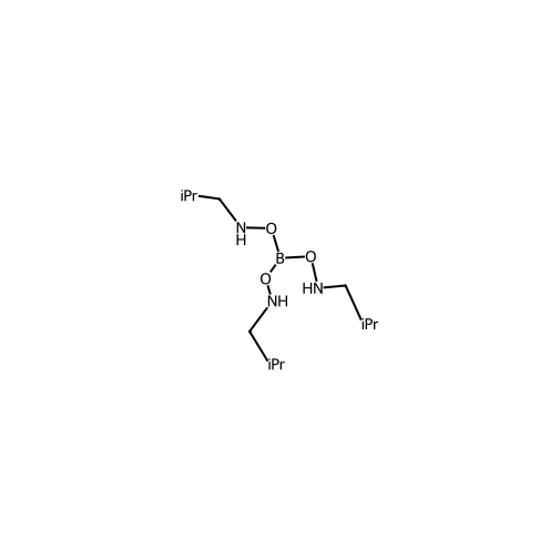 CC(C)CNOB(ONCC(C)C)ONCC(C)C